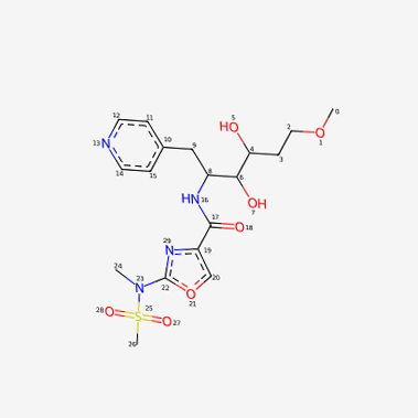 COCCC(O)C(O)C(Cc1ccncc1)NC(=O)c1coc(N(C)S(C)(=O)=O)n1